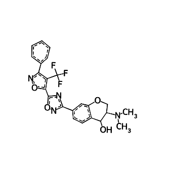 CN(C)C1COc2cc(-c3noc(-c4onc(-c5ccccc5)c4C(F)(F)F)n3)ccc2C1O